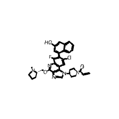 C=CC(=O)N1CCC(n2cnc3c(OC[C@@H]4CCCN4C)nc4c(F)c(-c5cc(O)cc6ccccc56)c(Cl)cc4c32)CC1